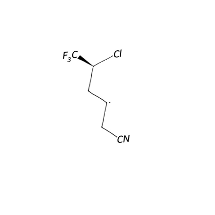 N#CC[CH]C[C@H](Cl)C(F)(F)F